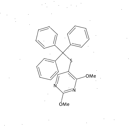 COc1ncc(SC(c2ccccc2)(c2ccccc2)c2ccccc2)c(OC)n1